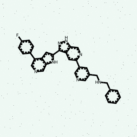 Fc1ccc(-c2cncc3[nH]c(-c4n[nH]c5cnc(-c6cncc(CNCc7ccccc7)c6)cc45)cc23)cc1